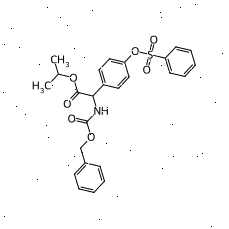 CC(C)OC(=O)C(NC(=O)OCc1ccccc1)c1ccc(OS(=O)(=O)c2ccccc2)cc1